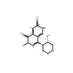 Cn1nc([C@@H]2CCOC[C@H]2F)c2c[nH]c(=O)cc2c1=O